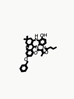 CCCc1nc(C(=O)N2c3cccc(O)c3NC3=C(C(=O)CC(C)(C)C3)C2c2ccc(OCc3ccccc3)cc2F)c(C)o1